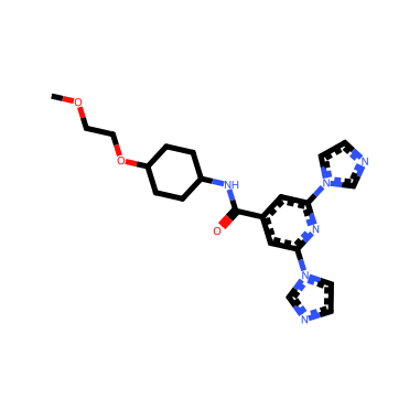 COCCOC1CCC(NC(=O)c2cc(-n3ccnc3)nc(-n3ccnc3)c2)CC1